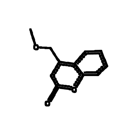 COCc1cc(=O)oc2ccccc12